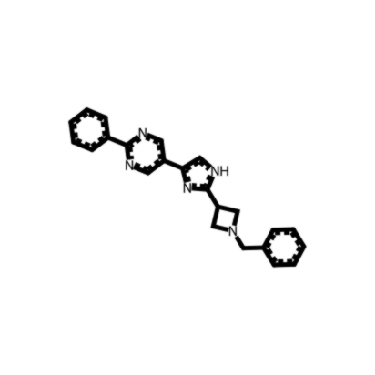 c1ccc(CN2CC(c3nc(-c4cnc(-c5ccccc5)nc4)c[nH]3)C2)cc1